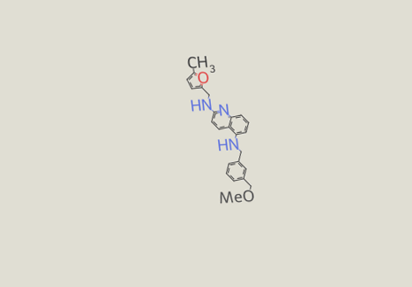 COCc1cccc(CNc2cccc3nc(NCc4ccc(C)o4)ccc23)c1